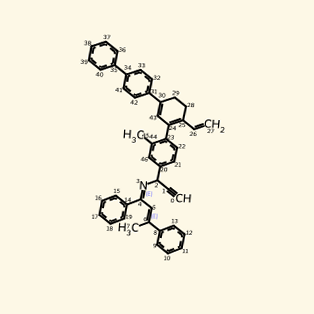 C#CC(/N=C(\C=C(/C)c1ccccc1)c1ccccc1)c1ccc(C2=C(C=C)CCC(c3ccc(-c4ccccc4)cc3)=C2)c(C)c1